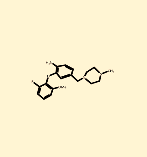 COc1cccc(F)c1Oc1cc(CN2CCN(C)CC2)ccc1N